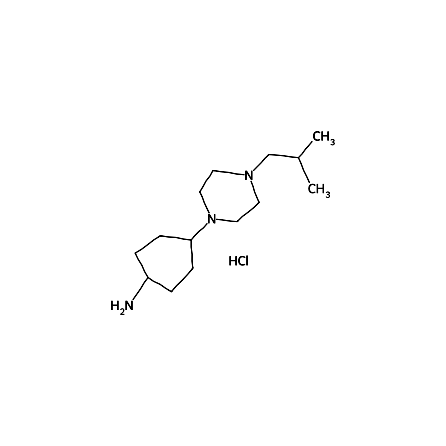 CC(C)CN1CCN(C2CCC(N)CC2)CC1.Cl